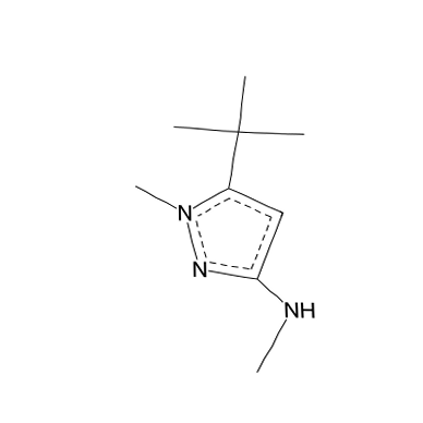 CNc1cc(C(C)(C)C)n(C)n1